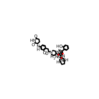 Nc1nnc(-c2ccccc2O)cc1N1C[C@H]2CC[C@@H](C1)N2c1nccc(C2CCN(C(=O)Cc3ccc(N[C@H]4CCC(=O)NC4=O)cc3Cl)CC2)n1